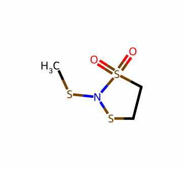 CSN1SCCS1(=O)=O